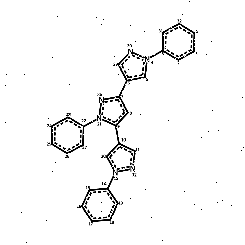 c1ccc(-n2cc(-c3cc(-c4cnn(-c5ccccc5)c4)n(-c4ccccc4)n3)cn2)cc1